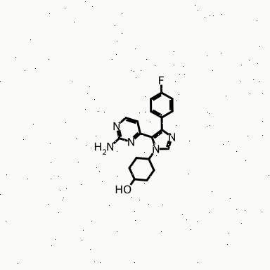 Nc1nccc(-c2c(-c3ccc(F)cc3)ncn2C2CCC(O)CC2)n1